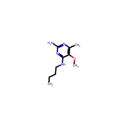 CCCCNc1nc(N)nc(C)c1OC